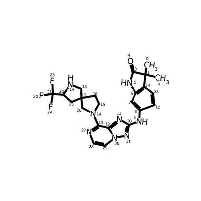 CC1(C)C(=O)Nc2cc(Nc3nc4c(N5CCC6(CNC(C(F)(F)F)C6)C5)nccn4n3)ccc21